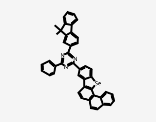 CC1(C)c2ccccc2-c2ccc(-c3nc(-c4ccccc4)nc(-c4ccc5[se]c6c(ccc7ccc8ccccc8c76)c5c4)n3)cc21